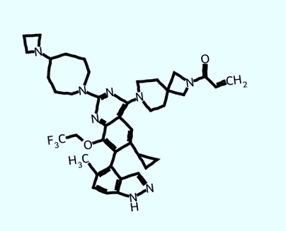 C=CC(=O)N1CC2(CCN(c3nc(N4CCCC(N5CCC5)CCC4)nc4c(OCC(F)(F)F)c(-c5c(C)ccc6[nH]ncc56)c(C5CC5)cc34)CC2)C1